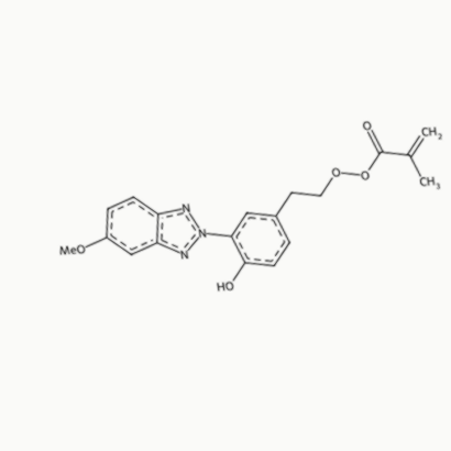 C=C(C)C(=O)OOCCc1ccc(O)c(-n2nc3ccc(OC)cc3n2)c1